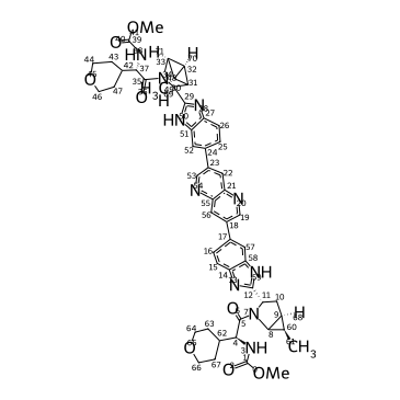 COC(=O)N[C@H](C(=O)N1C2[C@@H](C[C@H]1c1nc3ccc(-c4cnc5cc(-c6ccc7nc([C@@H]8C9[C@@H]%10[C@H](N8C(=O)[C@@H](NC(=O)OC)C8CCOCC8)[C@]9%10C)[nH]c7c6)cnc5c4)cc3[nH]1)[C@H]2C)C1CCOCC1